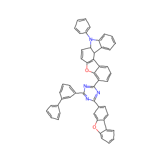 C1=CC2C(c3ccccc3N2c2ccccc2)c2c1oc1c(-c3nc(-c4cccc(-c5ccccc5)c4)nc(-c4ccc5c(c4)oc4ccccc45)n3)cccc21